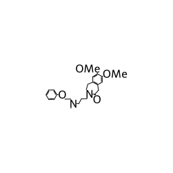 COc1cc2c(cc1OC)CC(=O)N(CCCN(C)CCOc1ccccc1)CC2